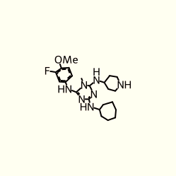 COc1ccc(NC2=NC(NC3CCCCCC3)=NC(NC3CCNCC3)N2C)cc1F